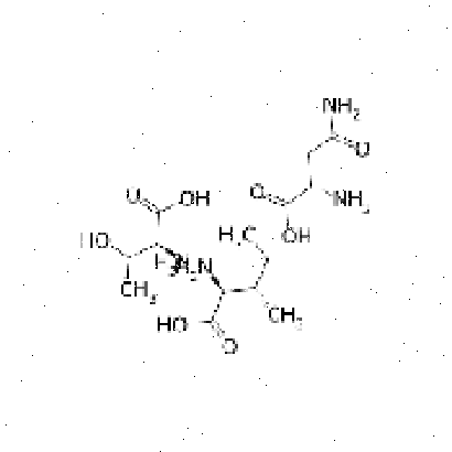 CC[C@H](C)[C@H](N)C(=O)O.C[C@@H](O)[C@H](N)C(=O)O.NC(=O)C[C@H](N)C(=O)O